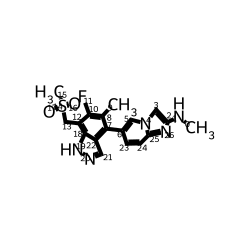 CNc1cn2cc(-c3c(C)c(F)c(CS(C)(=O)=O)c4[nH]ncc34)ccc2n1